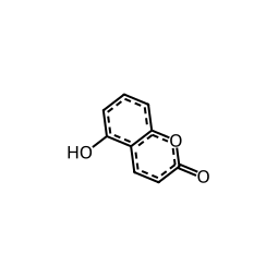 O=c1ccc2c(O)cccc2o1